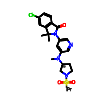 CC(C)S(=O)(=O)N1CC[C@H](N(C)c2cncc(N3C(=O)c4ccc(Cl)cc4C3(C)C)c2)C1